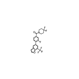 O=C(c1ccc(-c2cc(C(F)(F)F)c3occc3c2)c(F)c1)N1CCC(F)(F)CC1